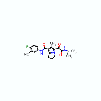 Cc1c(C(=O)Nc2ccc(F)c(C#N)c2)c2n(c1C(=O)C(=O)N[C@@H](C)C(F)(F)F)CCC2